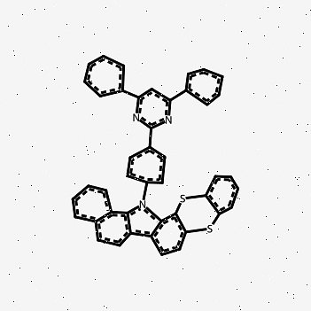 c1ccc(-c2cc(-c3ccccc3)nc(-c3ccc(-n4c5c6c(ccc5c5ccc7ccccc7c54)Sc4ccccc4S6)cc3)n2)cc1